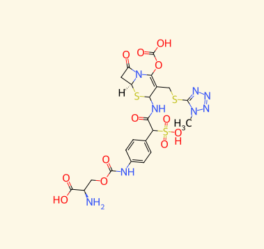 Cn1nnnc1SCC1=C(OC(=O)O)N2C(=O)C[C@@H]2SC1NC(=O)C(c1ccc(NC(=O)OC[C@@H](N)C(=O)O)cc1)S(=O)(=O)O